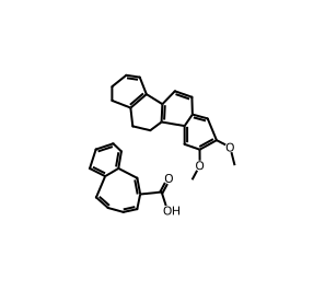 COc1cc2ccc3c(c2cc1OC)CCC1=C3C=CCC1.O=C(O)C1=Cc2ccccc2C=CC=C1